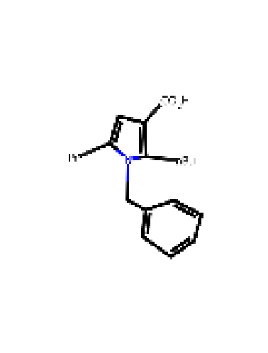 CCCCc1c(C(=O)O)cc(C(C)C)n1Cc1ccccc1